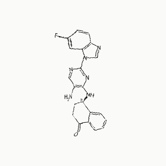 Nc1cnc(-n2cnc3ccc(F)cc32)nc1N[C@@H]1CCC(=O)c2ccccc21